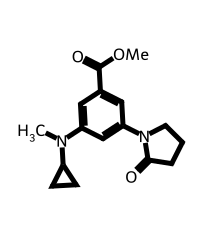 COC(=O)c1cc(N2CCCC2=O)cc(N(C)C2CC2)c1